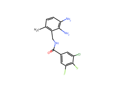 Cc1ccc(N)c(N)c1CNC(=O)c1cc(F)c(F)c(Cl)c1